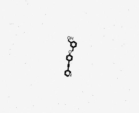 OCc1cccc(COc2ccc(C#Cc3cccnc3)cc2)c1